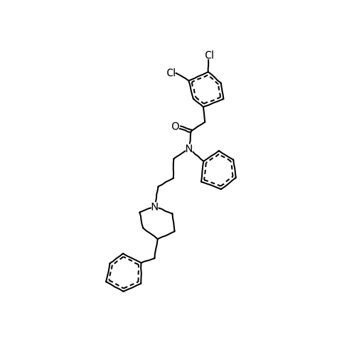 O=C(Cc1ccc(Cl)c(Cl)c1)N(CCCN1CCC(Cc2ccccc2)CC1)c1ccccc1